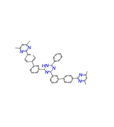 C=C(/C=C\C(=C/C)c1cccc(C2N=C(c3cccc(-c4ccc(-c5nc(C)cc(C)n5)cc4)c3)N=C(c3ccccc3)N2)c1)c1nc(C)cc(C)n1